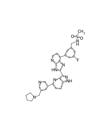 CS(=O)(=O)NCc1cc(F)cc(-c2ccnc3[nH]c(-c4n[nH]c5ccc(-c6cncc(CN7CCCC7)c6)nc45)nc23)c1